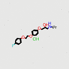 CC(C)NCC(O)COc1ccc(OCCOc2ccc(F)cc2)cc1.Cl